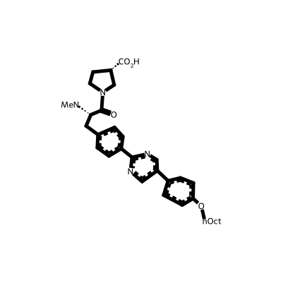 CCCCCCCCOc1ccc(-c2cnc(-c3ccc(C[C@H](NC)C(=O)N4CC[C@H](C(=O)O)C4)cc3)nc2)cc1